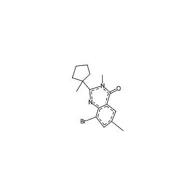 Cc1cc(Br)c2nc(C3(C)CCCC3)n(C)c(=O)c2c1